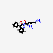 NCCCCC(N)C(=O)NC(=O)C(c1ccccc1)c1ccccc1